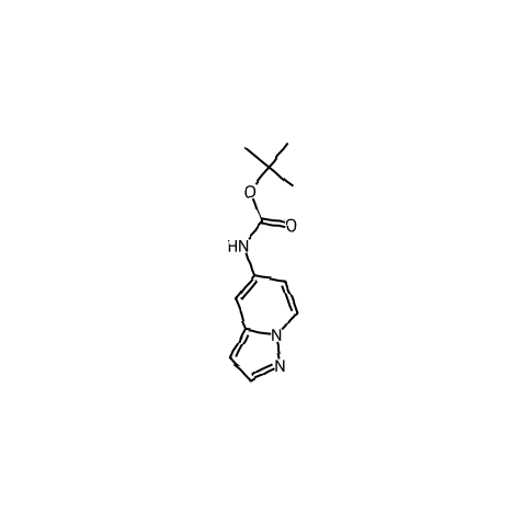 CC(C)(C)OC(=O)Nc1ccn2nccc2c1